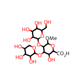 COC1OC(C(=O)O)C(O)C(OC2OCC(O)C(O)C2O)C1OC1OC(CO)C(O)C(O)C1O